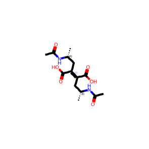 CC(=O)N[C@H](C)C/C(C(=O)O)=C(/C[C@@H](C)NC(C)=O)C(=O)O